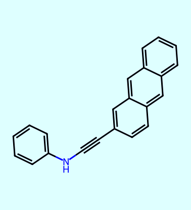 C(#Cc1ccc2cc3ccccc3cc2c1)Nc1ccccc1